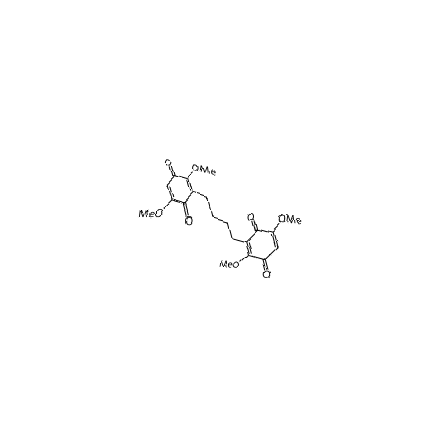 COC1=CC(=O)C(OC)=C(CCCCC2=C(OC)C(=O)C=C(OC)C2=O)C1=O